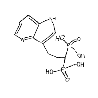 O=P(O)(O)C(Cc1c[nH]c2cccnc12)P(=O)(O)O